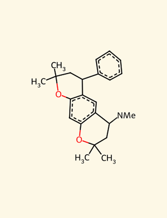 CNC1CC(C)(C)Oc2cc3c(cc21)C(c1ccccc1)CC(C)(C)O3